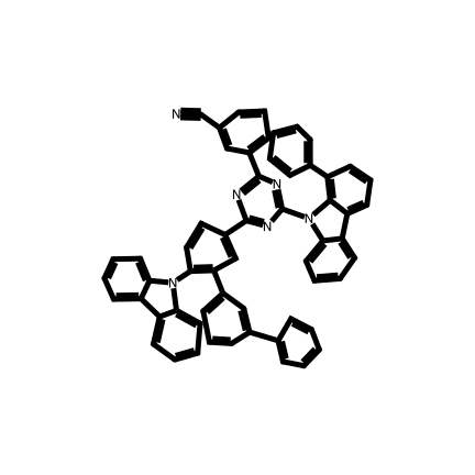 N#Cc1cccc(-c2nc(-c3ccc(-n4c5ccccc5c5ccccc54)c(-c4cccc(-c5ccccc5)c4)c3)nc(-n3c4ccccc4c4cccc(-c5ccccc5)c43)n2)c1